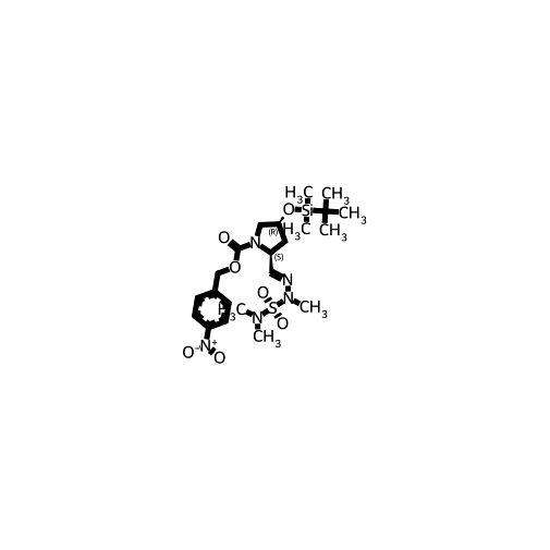 CN(C)S(=O)(=O)N(C)N=C[C@@H]1C[C@@H](O[Si](C)(C)C(C)(C)C)CN1C(=O)OCc1ccc([N+](=O)[O-])cc1